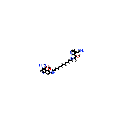 CC(NCCCCCCCCCCCCNC(C)C(=O)c1cnccc1C(N)=O)C(=O)c1cnccc1C(N)=O